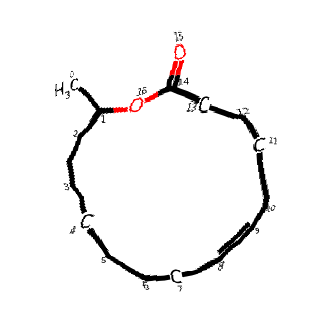 CC1CCCCCCC=CCCCCC(=O)O1